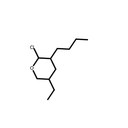 CCCCC1CC(CC)COC1Cl